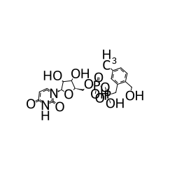 Cc1ccc(CO)c(CP(=O)(O)OP(=O)(O)OC[C@H]2O[C@@H](n3ccc(=O)[nH]c3=O)[C@@H](O)C2O)c1